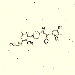 CCOC(=O)c1cc(C)nc(N2CCC(NC(=O)c3cc(Br)c(C)[nH]3)CC2)c1C#N